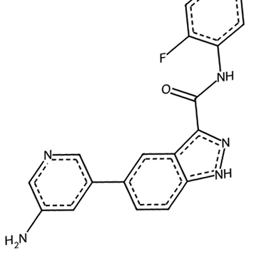 Nc1cncc(-c2ccc3[nH]nc(C(=O)Nc4cnccc4F)c3c2)c1